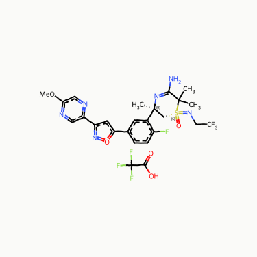 COc1cnc(-c2cc(-c3ccc(F)c([C@]4(C)C[S@@](=O)(=NCC(F)(F)F)C(C)(C)C(N)=N4)c3)on2)cn1.O=C(O)C(F)(F)F